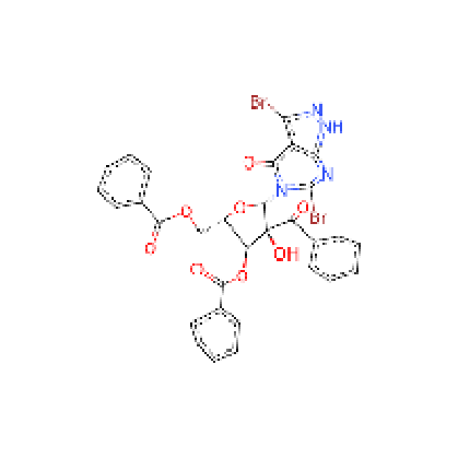 O=C(OC[C@@H]1O[C@H](n2c(Br)nc3[nH]nc(Br)c3c2=O)[C@](O)(C(=O)c2ccccc2)[C@H]1OC(=O)c1ccccc1)c1ccccc1